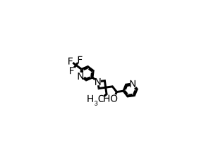 CCC1(CC(O)c2cccnc2)CN(c2ccc(C(F)(F)F)nc2)C1